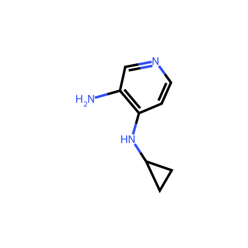 Nc1cnccc1NC1CC1